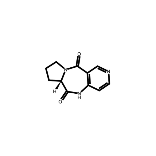 O=C1Nc2ccncc2C(=O)N2CCC[C@@H]12